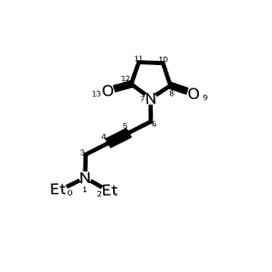 CCN(CC)CC#CCN1C(=O)CCC1=O